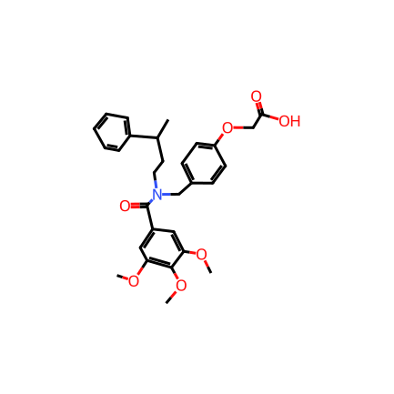 COc1cc(C(=O)N(CCC(C)c2ccccc2)Cc2ccc(OCC(=O)O)cc2)cc(OC)c1OC